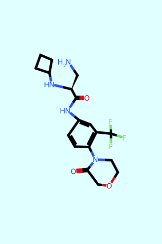 NC[C@H](NC1CCC1)C(=O)Nc1ccc(N2CCOCC2=O)c(C(F)(F)F)c1